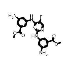 COC(=O)c1cc(N)cc(Nc2ncc(F)c(Nc3cc(N)cc(C(=O)OC)c3)n2)c1